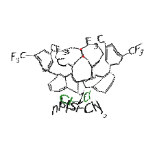 CCC[SiH](C)[Zr]([Cl])([Cl])([CH]1C(CC2CCCCCC2)=Cc2c(-c3cc(C(F)(F)F)cc(C(F)(F)F)c3)cccc21)[CH]1C(CC2CCCCCC2)=Cc2c(-c3cc(C(F)(F)F)cc(C(F)(F)F)c3)cccc21